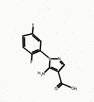 Nc1c(C(=O)O)cnn1-c1cc(F)ccc1F